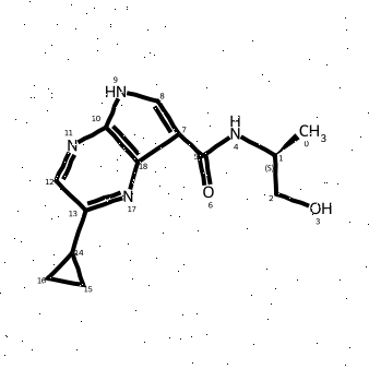 C[C@@H](CO)NC(=O)c1c[nH]c2ncc(C3CC3)nc12